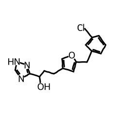 OC(CCc1coc(Cc2cccc(Cl)c2)c1)c1nc[nH]n1